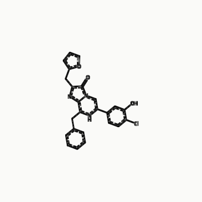 O=c1c(Cc2ccco2)nc2c(Cc3ccccc3)[nH]c(-c3ccc(Cl)c(O)c3)cn1-2